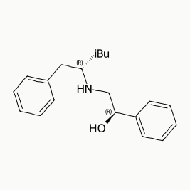 CCC(C)[C@@H](Cc1ccccc1)NC[C@H](O)c1ccccc1